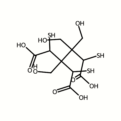 O=C(O)C(S)C(CO)(CO)C(CO)(C(S)C(=O)O)C(S)C(=O)O